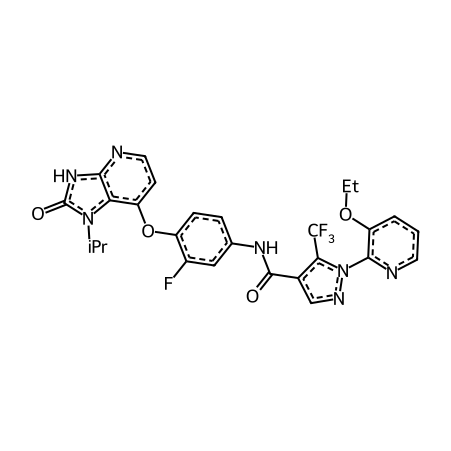 CCOc1cccnc1-n1ncc(C(=O)Nc2ccc(Oc3ccnc4[nH]c(=O)n(C(C)C)c34)c(F)c2)c1C(F)(F)F